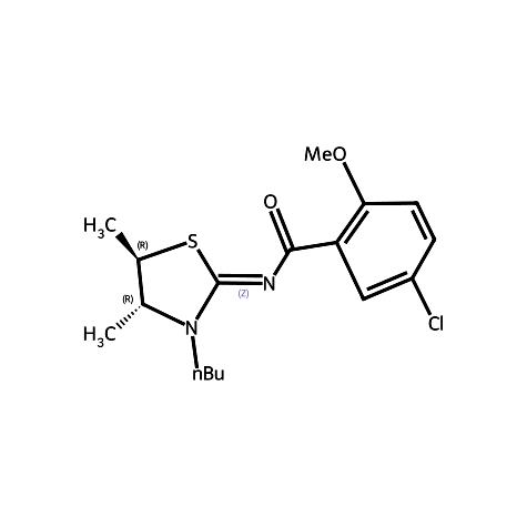 CCCCN1/C(=N/C(=O)c2cc(Cl)ccc2OC)S[C@H](C)[C@H]1C